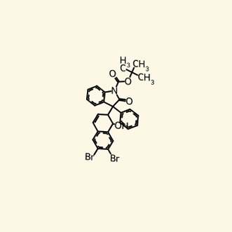 CC(C)(C)OC(=O)N1C(=O)C(c2ccccc2)(C2C=Cc3cc(Br)c(Br)cc3C2O)c2ccccc21